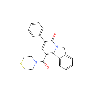 O=C(c1cc(-c2ccccc2)c(=O)n2c1-c1ccccc1C2)N1CCSCC1